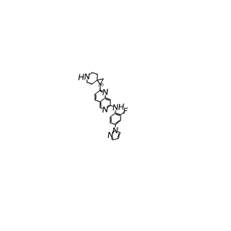 Fc1cc(-n2cccn2)ccc1Nc1cc2nc([C@@H]3CC34CCNCC4)ccc2cn1